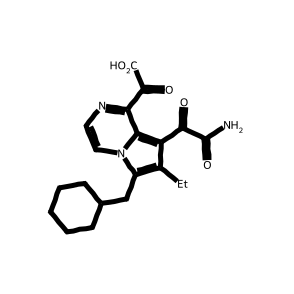 CCc1c(C(=O)C(N)=O)c2c(C(=O)C(=O)O)nccn2c1CC1CCCCC1